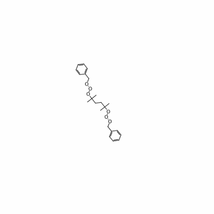 CC(C)(CCC(C)(C)OOOCc1ccccc1)OOOCc1ccccc1